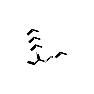 C=CC.C=CC.C=CC.C=CC.C=CC(=O)OC(C)(C)C